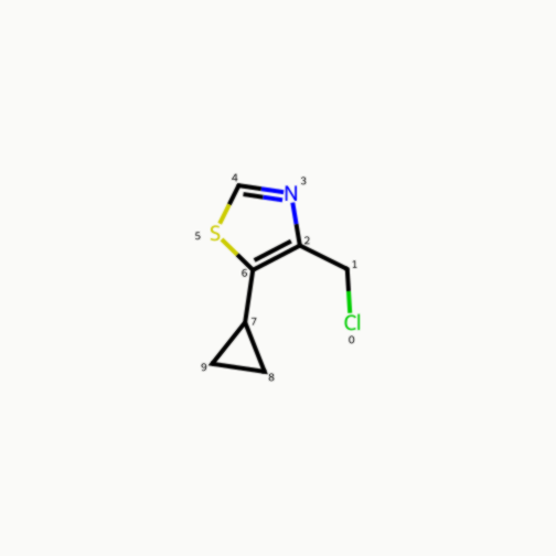 ClCc1ncsc1C1CC1